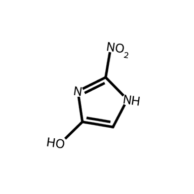 O=[N+]([O-])c1nc(O)c[nH]1